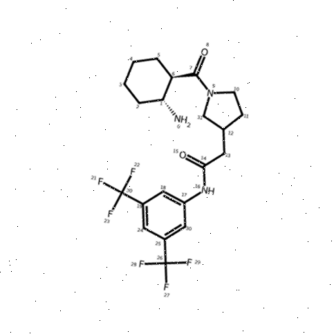 N[C@@H]1CCCC[C@H]1C(=O)N1CCC(CC(=O)Nc2cc(C(F)(F)F)cc(C(F)(F)F)c2)C1